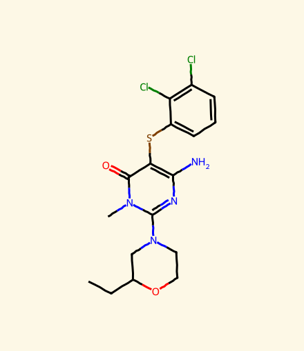 CCC1CN(c2nc(N)c(Sc3cccc(Cl)c3Cl)c(=O)n2C)CCO1